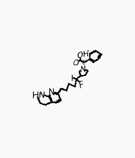 O=C(O)[C@H](c1ccccc1)N1CCC(C(F)(I)CCCCc2ccc3c(n2)NCCC3)C1